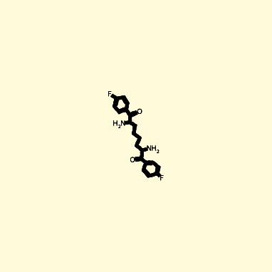 NC(CCCCC(N)C(=O)c1ccc(F)cc1)C(=O)c1ccc(F)cc1